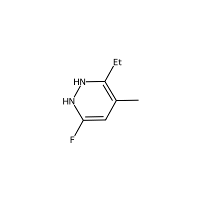 CCC1=C(C)C=C(F)NN1